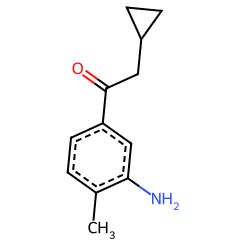 Cc1ccc(C(=O)CC2CC2)cc1N